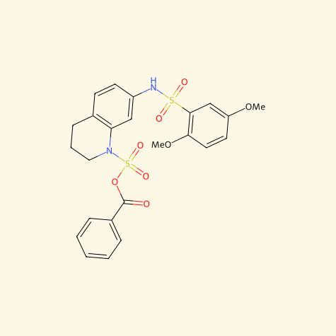 COc1ccc(OC)c(S(=O)(=O)Nc2ccc3c(c2)N(S(=O)(=O)OC(=O)c2ccccc2)CCC3)c1